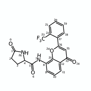 O=C1CCC(C(=O)Nc2cccc3c(=O)cc(-c4ccccc4C(F)(F)F)oc23)N1